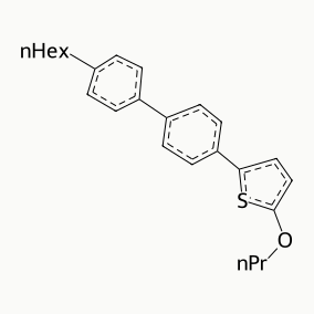 CCCCCCc1ccc(-c2ccc(-c3ccc(OCCC)s3)cc2)cc1